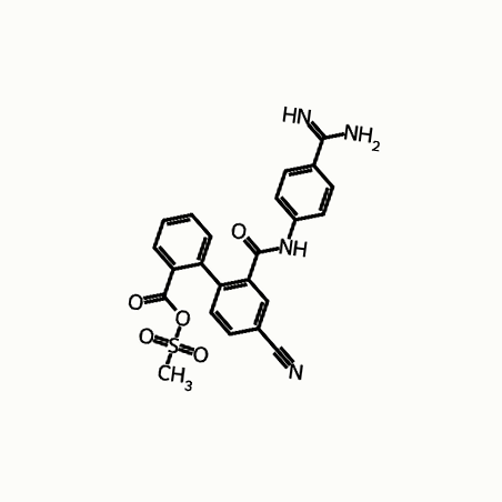 CS(=O)(=O)OC(=O)c1ccccc1-c1ccc(C#N)cc1C(=O)Nc1ccc(C(=N)N)cc1